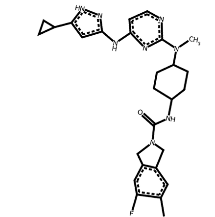 CN(c1nccc(Nc2cc(C3CC3)[nH]n2)n1)C1CCC(NC(=O)N2Cc3cc(F)c(F)cc3C2)CC1